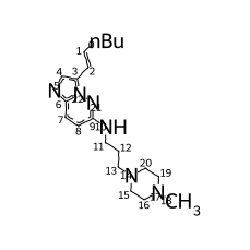 CCCC/C=C/c1cnc2ccc(NCCCN3CCN(C)CC3)nn12